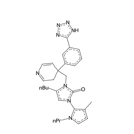 CCCCc1cn(-c2c(C)ccn2CCC)c(=O)n1CC1(c2cccc(-c3nnn[nH]3)c2)C=CN=CC1